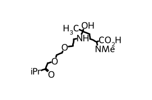 CNC(CCC(C)(O)NCCOCCOCC(=O)C(C)C)C(=O)O